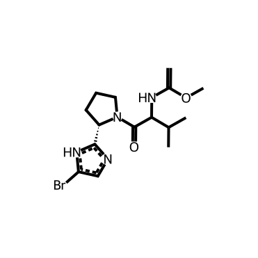 C=C(NC(C(=O)N1CCC[C@H]1c1ncc(Br)[nH]1)C(C)C)OC